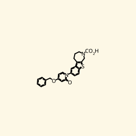 O=C(O)N1CCCc2c(sc3ccc(-n4ccc(OCc5ccccc5)cc4=O)cc23)C1